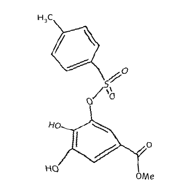 COC(=O)c1cc(O)c(O)c(OS(=O)(=O)c2ccc(C)cc2)c1